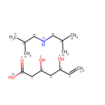 C=CC(O)CC(O)CC(=O)O.CC(C)CNCC(C)C